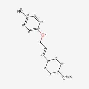 CCCCCCC1CCC(C=CCOc2ccc(C#N)cc2)CC1